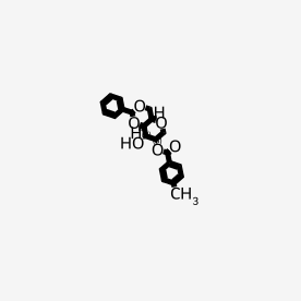 Cc1ccc(C(=O)O[C@H]2CO[C@@H]3COC(c4ccccc4)O[C@H]3[C@@H]2O)cc1